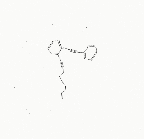 CCCCCC#Cc1ccccc1C#Cc1ccccc1